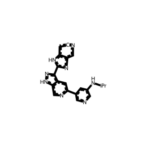 CC(C)Nc1cncc(-c2cc3c(-c4nc5cnccc5[nH]4)n[nH]c3cn2)c1